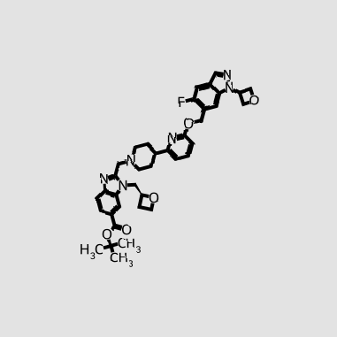 CC(C)(C)OC(=O)c1ccc2nc(CN3CCC(c4cccc(OCc5cc6c(cnn6C6COC6)cc5F)n4)CC3)n(C[C@@H]3CCO3)c2c1